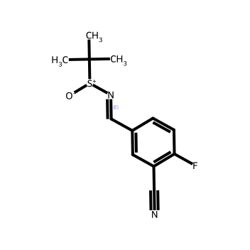 CC(C)(C)[S+]([O-])/N=C/c1ccc(F)c(C#N)c1